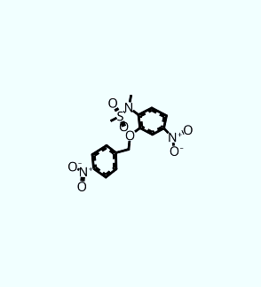 CN(c1ccc([N+](=O)[O-])cc1OCc1ccc([N+](=O)[O-])cc1)S(C)(=O)=O